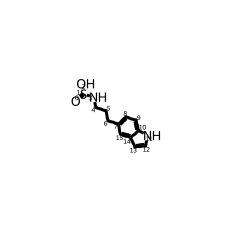 O=S(O)NCCCc1ccc2[nH]ccc2c1